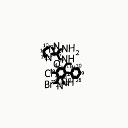 CC(NC(=O)c1c(N)nn2cccnc12)c1cc(Cl)c2c(Br)n[nH]c2c1-c1ccccc1